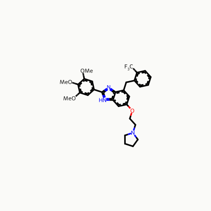 COc1cc(-c2nc3c(Cc4ccccc4C(F)(F)F)cc(OCCN4CCCC4)cc3[nH]2)cc(OC)c1OC